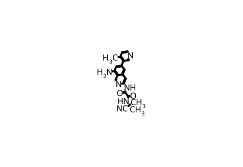 Cc1ccncc1-c1cc(N)c2cnc(NC(=O)C(=O)NC(C)(C)C#N)cc2c1